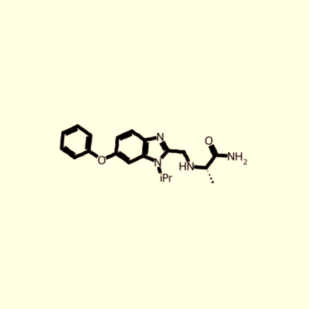 CC(C)n1c(CN[C@@H](C)C(N)=O)nc2ccc(Oc3ccccc3)cc21